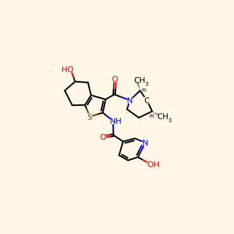 C[C@@H]1CCN(C(=O)c2c(NC(=O)c3ccc(O)nc3)sc3c2CC(O)CC3)[C@H](C)C1